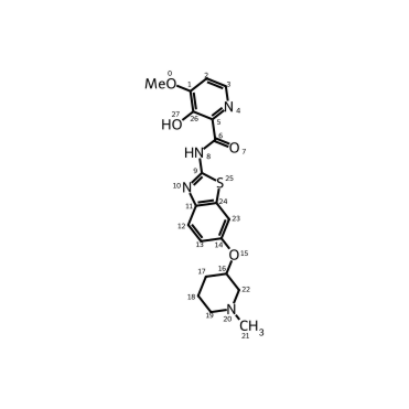 COc1ccnc(C(=O)Nc2nc3ccc(OC4CCCN(C)C4)cc3s2)c1O